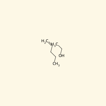 C=CCCC.CCO